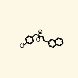 O=S(=O)(C=Cc1ccc2ccccc2c1)Cc1ccc(Cl)cc1